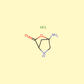 Cl.NC12CNC(C1)C(=O)O2